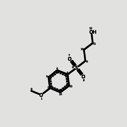 COc1ccc(S(=O)(=O)CCCO)cc1